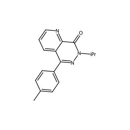 Cc1ccc(-c2nn(C(C)C)c(=O)c3ncccc23)cc1